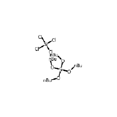 CCCCO[Si](OCCCC)(OCCCC)OCCCC.Cl[Si](Cl)(Cl)Cl